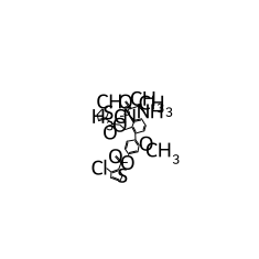 COc1cc(OC(=O)c2sccc2Cl)ccc1-c1ccc2c(c1COC(=O)C1=CCC(C)S1)N(C)C(=O)C(C)(C)N2